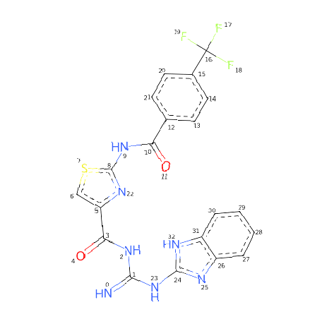 N=C(NC(=O)c1csc(NC(=O)c2ccc(C(F)(F)F)cc2)n1)Nc1nc2ccccc2[nH]1